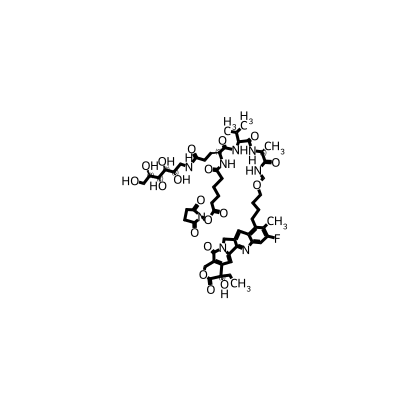 CC[C@@]1(O)C(=O)OCc2c1cc1n(c2=O)Cc2cc3c(CCCCOCNC(=O)[C@H](C)NC(=O)C(NC(=O)[C@H](CCC(=O)NC[C@H](O)[C@@H](O)[C@H](O)[C@H](O)CO)NC(=O)CCCCC(=O)ON4C(=O)CCC4=O)C(C)C)c(C)c(F)cc3nc2-1